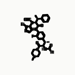 CCC(=O)N[C@@H](C(=O)N1CCN(C)CC1)[C@@H](C)c1ccc(NC(=O)[C@H]([C@@H](C)c2ccccc2)N(C=O)c2ccnn2CC)c(F)c1